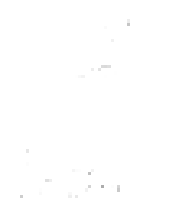 COC[C@@H]1C[C@@H](OC)CN1C(=O)CCCCOC1OC(CO)C(O)C(O)C1NC(C)=O